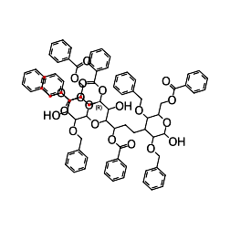 O=C(OCC1OC(OC(C(CCC2C(OCc3ccccc3)C(O)OC(COC(=O)c3ccccc3)C2OCc2ccccc2)OC(=O)c2ccccc2)C(O)[C@@H](COC(=O)c2ccccc2)OC(=O)c2ccccc2)C(OCc2ccccc2)C(O)C1OCc1ccccc1)c1ccccc1